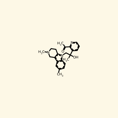 CC(=O)c1ncccc1C(C)(O)Cn1c2c(c3cc(C)ccc31)CN(C)CC2